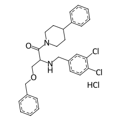 Cl.O=C(C(COCc1ccccc1)NCc1ccc(Cl)c(Cl)c1)N1CCC(c2ccccc2)CC1